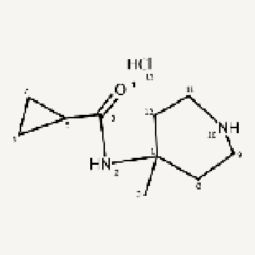 CC1(NC(=O)C2CC2)CCNCC1.Cl